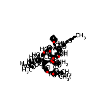 CCCCCOCCNC(=O)Oc1cc(O)c2c(c1)[C@@H](C(=O)CC1C3CC4CC(C3)CC1C4)NC(=O)[C@H]1NC(=O)[C@H](CC(=O)[C@@H]3NC(=O)[C@H](CC(N)=O)CC(=O)[C@H](NC(=O)[C@H](CC)CC(C)C)[C@H](O)c4ccc(c(Cl)c4)Oc4cc3cc(c4O[C@@H]3O[C@H](CO)[C@@H](O)[C@H](O)[C@H]3O[C@H]3C[C@](C)(N)[C@H](O)[C@H](C)O3)Oc3ccc(cc3Cl)[C@H]1O)c1ccc(O)c-2c1